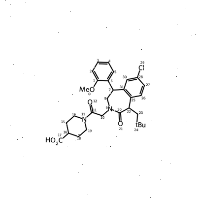 COc1ccccc1C1CN(CC(=O)N2CCC(C(=O)O)CC2)C(=O)C(CC(C)(C)C)c2ccc(Cl)cc21